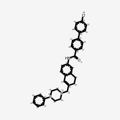 O=C(Nc1ccc2c(c1)CCC(CN1CCN(c3ccccc3)CC1)=C2)c1ccc(-c2ccc(Cl)cc2)cc1